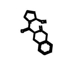 N#C[C@@H]1C=CCN1C(=O)[C@@H]1Cc2ccccc2CN1